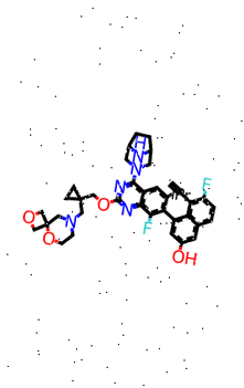 C#Cc1c(F)ccc2cc(O)cc(-c3c(C(C)C)cc4c(N5CC6CCC(C5)N6)nc(OCC5(CN6CCOC7(COC7)C6)CC5)nc4c3F)c12